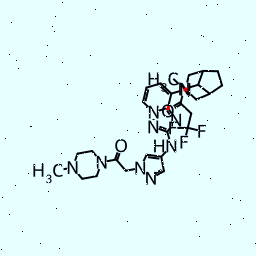 CN1CCN(C(=O)Cn2cc(Nc3nc4c(N5CC6CCC(C5)C6N(C)C(=O)CC(F)(F)F)cccn4n3)cn2)CC1